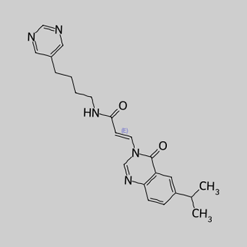 CC(C)c1ccc2ncn(/C=C/C(=O)NCCCCc3cncnc3)c(=O)c2c1